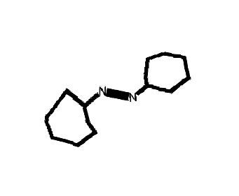 C1CC[C](/N=N/[C]2CCCCC2)CC1